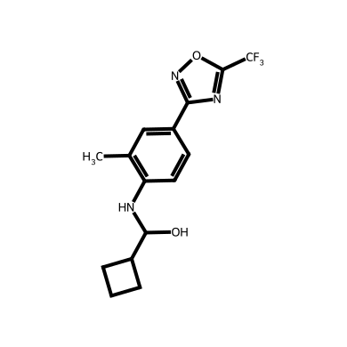 Cc1cc(-c2noc(C(F)(F)F)n2)ccc1NC(O)C1CCC1